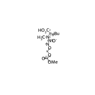 CC[C@@H](C)[C@@H](C(=O)O)N(C)[N+]([O-])=NOCOC(=O)OC